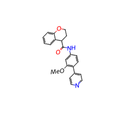 COc1cc(NC(=O)C2CCOc3ccccc32)ccc1-c1ccncc1